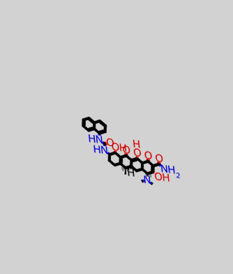 C[C@H]1C2=C(C(=O)C3=C(O)C4C(=O)C(C(N)=O)=C(O)[C@@H](N(C)C)C4C[C@@H]31)C(O)C(NC(=O)Nc1cccc3ccccc13)CC2